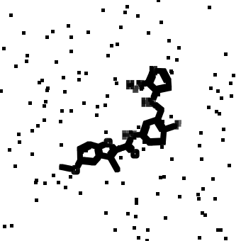 COc1ccc2oc(C(=O)Nc3ccc(F)c(CNc4cccnc4N)c3)c(C)c2c1